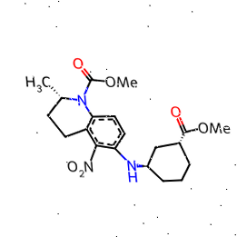 COC(=O)[C@@H]1CCC[C@@H](Nc2ccc3c(c2[N+](=O)[O-])CC[C@H](C)N3C(=O)OC)C1